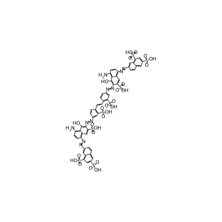 Nc1ccc(N=Nc2ccc3cc(S(=O)(=O)O)cc(S(=O)(=O)O)c3c2)c2cc(S(=O)(=O)O)c(N=Nc3ccc(/C=C/c4ccc(N=Nc5c(S(=O)(=O)O)cc6c(N=Nc7ccc8cc(S(=O)(=O)O)cc(S(=O)(=O)O)c8c7)ccc(N)c6c5O)cc4S(=O)(=O)O)c(S(=O)(=O)O)c3)c(O)c12